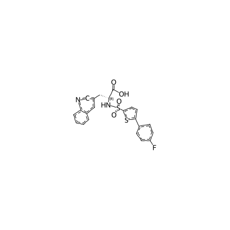 O=C(O)[C@@H](Cc1cnc2ccccc2c1)NS(=O)(=O)c1ccc(-c2ccc(F)cc2)s1